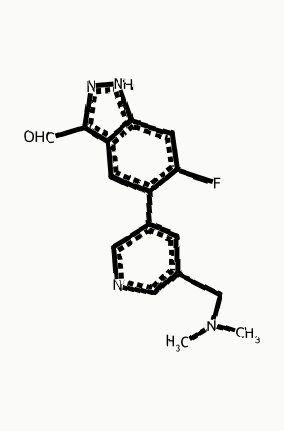 CN(C)Cc1cncc(-c2cc3c(C=O)n[nH]c3cc2F)c1